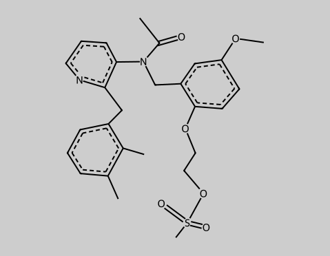 COc1ccc(OCCOS(C)(=O)=O)c(CN(C(C)=O)c2cccnc2Cc2cccc(C)c2C)c1